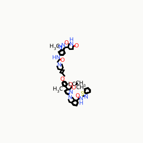 Cc1cc(OCC2CC3(CCN(CC(=O)Nc4ccc5c(C6CCC(=O)NC6=O)nn(C)c5c4)CC3)C2)ccc1-c1ccc(N2CCc3cccc(C(=O)Nc4nc5ccccc5s4)c3C2)nc1C(=O)OC(C)(C)C